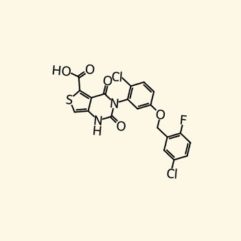 O=C(O)c1scc2[nH]c(=O)n(-c3cc(OCc4cc(Cl)ccc4F)ccc3Cl)c(=O)c12